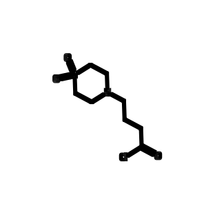 O=C(Cl)CCCN1CCS(=O)(=O)CC1